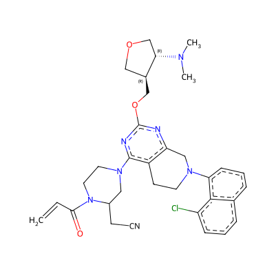 C=CC(=O)N1CCN(c2nc(OC[C@H]3COC[C@@H]3N(C)C)nc3c2CCN(c2cccc4cccc(Cl)c24)C3)CC1CC#N